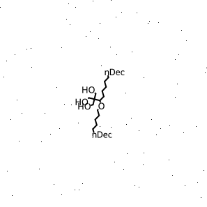 CCCCCCCCCCCCCCCOC(CCCCCCCCCCCCCCC)C(CO)(CO)CO